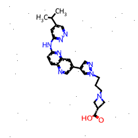 CC(C)c1cnnc(Nc2ccc3ncc(-c4cnn(CCCN5CC(C(=O)O)C5)c4)cc3n2)c1